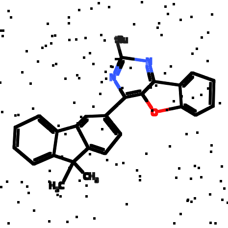 CC(C)(C)c1nc(-c2ccc3c(c2)-c2ccccc2C3(C)C)c2oc3ccccc3c2n1